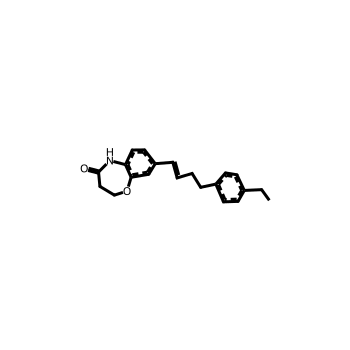 CCc1ccc(CCC=Cc2ccc3c(c2)OCCC(=O)N3)cc1